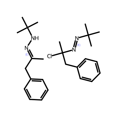 C/C(Cc1ccccc1)=N\NC(C)(C)C.CC(C)(C)/N=N/C(C)(Cl)Cc1ccccc1